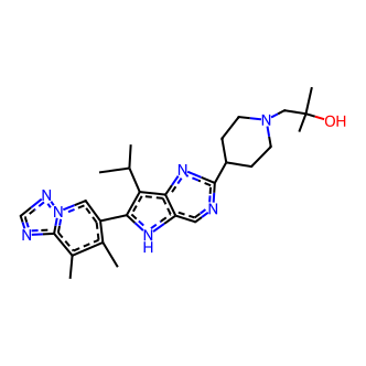 Cc1c(-c2[nH]c3cnc(C4CCN(CC(C)(C)O)CC4)nc3c2C(C)C)cn2ncnc2c1C